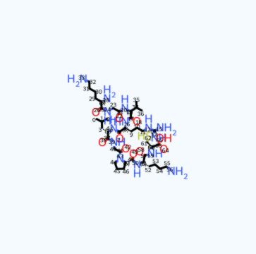 CC(C)C[C@H](NC(=O)[C@H](CCCNC(=N)N)NC(=O)[C@@H](NC(=O)CNC(=O)[C@@H](N)CCCCN)C(C)C)C(=O)NCC(=O)N1CCC[C@H]1C(=O)N[C@@H](CCCCN)C(=O)N[C@@H](CS)C(=O)O